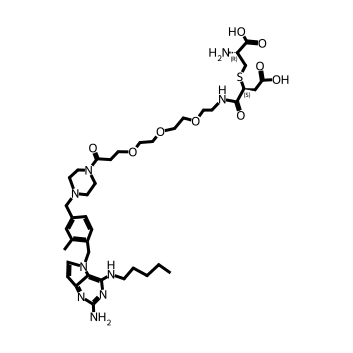 CCCCCNc1nc(N)nc2ccn(Cc3ccc(CN4CCN(C(=O)CCOCCOCCOCCNC(=O)[C@H](CC(=O)O)SC[C@H](N)C(=O)O)CC4)cc3C)c12